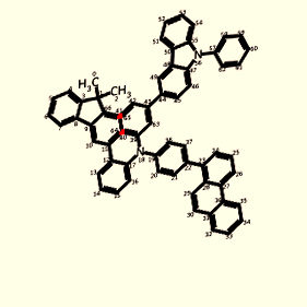 CC1(C)c2ccccc2-c2cc(-c3ccccc3N(c3ccc(-c4cccc5c4ccc4ccccc45)cc3)c3cccc(-c4ccc5c(c4)c4ccccc4n5-c4ccccc4)c3)ccc21